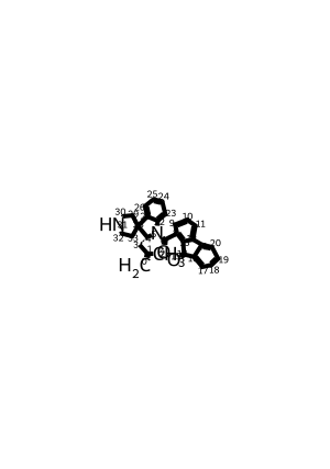 C=C(C)C[C@H]1N(C(=O)c2cccc3c2C(=O)c2ccccc2-3)c2ccccc2C12CCNCC2